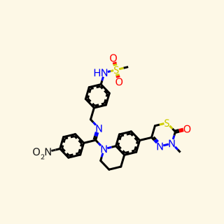 CN1N=C(c2ccc3c(c2)CCCN3C(=NCc2ccc(NS(C)(=O)=O)cc2)c2ccc([N+](=O)[O-])cc2)CSC1=O